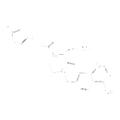 COC[C@H]1C(=O)N(Cc2ccc3c(N)ncnc3c2)C(C)CN1C(=O)COc1csc(Cl)c1